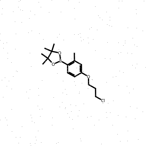 Cc1cc(OCCCCl)ccc1B1OC(C)(C)C(C)(C)O1